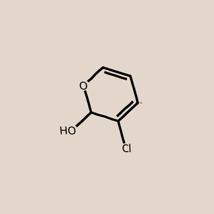 OC1OC=C[C]=C1Cl